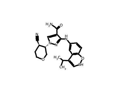 CC(C)C1=CBOc2ccc(Nc3nn([C@@H]4COCC[C@H]4C#N)cc3C(N)=O)cc21